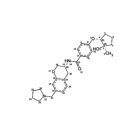 C[C@@]1(O)CCC[C@H]1Oc1ccc(C(=O)N[C@H]2COc3cc(CN4CCCC4)ccc3C2)cc1